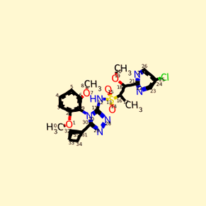 COc1cccc(OC)c1-n1c(NS(=O)(=O)C(C)C(OC)c2ncc(Cl)cn2)nnc1C12CC(C1)C2